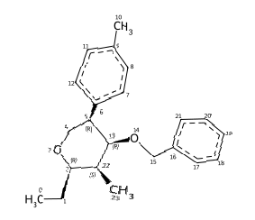 CC[C@H]1OC[C@@H](c2ccc(C)cc2)[C@@H](OCc2ccccc2)[C@H]1C